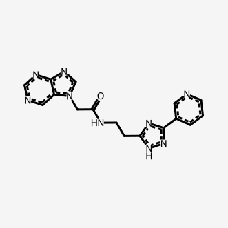 O=C(Cn1cnc2ncncc21)NCCc1nc(-c2cccnc2)n[nH]1